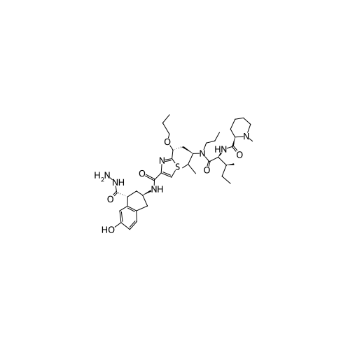 CCCO[C@H](C[C@H](C(C)C)N(CCC)C(=O)[C@@H](NC(=O)[C@H]1CCCCN1C)[C@@H](C)CC)c1nc(C(=O)N[C@H]2Cc3ccc(O)cc3[C@H](C(=O)NN)C2)cs1